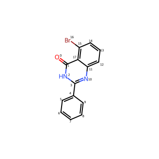 O=c1[nH]c(-c2ccccc2)nc2cccc(Br)c12